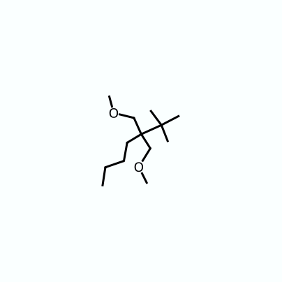 CCCCC(COC)(COC)C(C)(C)C